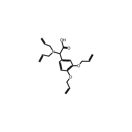 C=CCOc1ccc(C(C(=O)O)N(CC=C)CC=C)cc1OCC=C